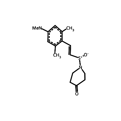 CNc1cc(C)c(/C=C/[S@+]([O-])N2CCC(=O)CC2)c(C)c1